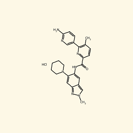 Cc1ccc(C(=O)Nc2cc3cn(C)nc3cc2N2CCCCC2)nc1-c1ccc(N)nc1.Cl